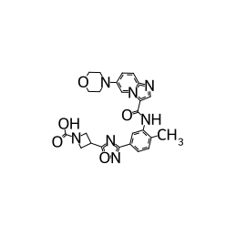 Cc1ccc(-c2noc(C3CN(C(=O)O)C3)n2)cc1NC(=O)c1cnc2ccc(N3CCOCC3)cn12